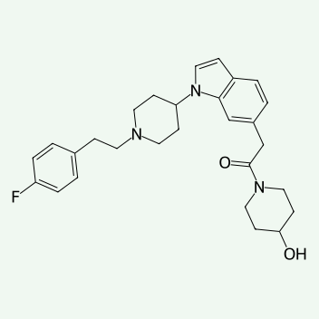 O=C(Cc1ccc2ccn(C3CCN(CCc4ccc(F)cc4)CC3)c2c1)N1CCC(O)CC1